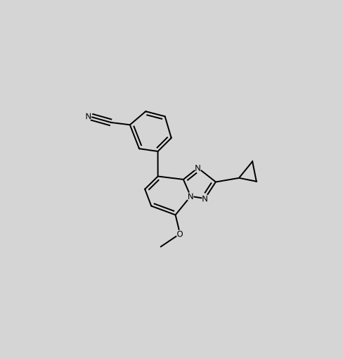 COc1ccc(-c2cccc(C#N)c2)c2nc(C3CC3)nn12